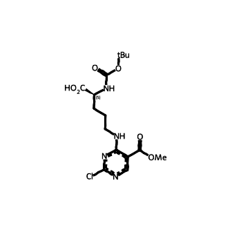 COC(=O)c1cnc(Cl)nc1NCCC[C@H](NC(=O)OC(C)(C)C)C(=O)O